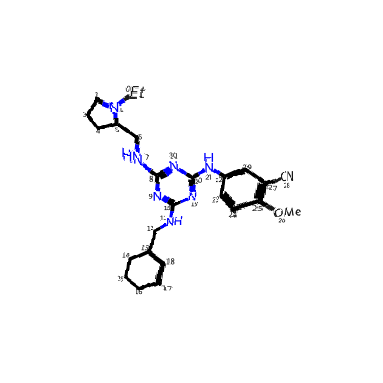 CCN1CCCC1CNc1nc(NCC2CCCCC2)nc(Nc2ccc(OC)c(C#N)c2)n1